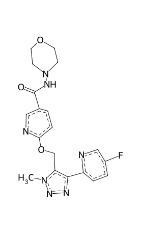 Cn1nnc(-c2ccc(F)cn2)c1COc1ccc(C(=O)NN2CCOCC2)cn1